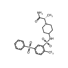 C[C@@H](C(N)=O)N1CCC(NS(=O)(=O)c2cc(S(=O)(=O)c3ccccc3)ccc2C(F)(F)F)CC1